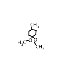 CCOC1(OCC)CCC(C)CC1